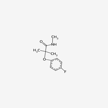 CNC(=O)C(C)(C)Oc1ccc(F)cc1